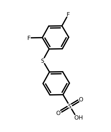 O=S(=O)(O)c1ccc(Sc2ccc(F)cc2F)cc1